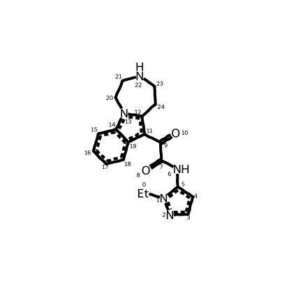 CCn1nccc1NC(=O)C(=O)c1c2n(c3ccccc13)CCNCC2